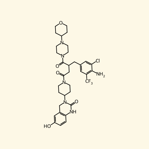 Nc1c(Cl)cc(CC(CC(=O)N2CCC(N3Cc4cc(O)ccc4NC3=O)CC2)C(=O)N2CCN(C3CCOCC3)CC2)cc1C(F)(F)F